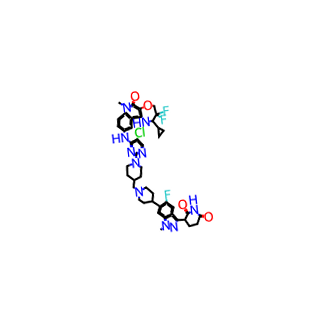 Cn1nc(C2CCC(=O)NC2=O)c2cc(F)c(C3CCN(CC4CCN(c5ncc(Cl)c(Nc6ccc7c(c6)c6c(c(=O)n7C)OCC(F)(F)C(C7CC7)N6)n5)CC4)CC3)cc21